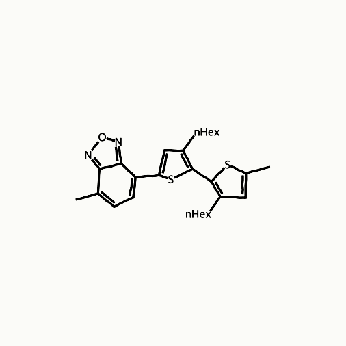 CCCCCCc1cc(C)sc1-c1sc(-c2ccc(C)c3nonc23)cc1CCCCCC